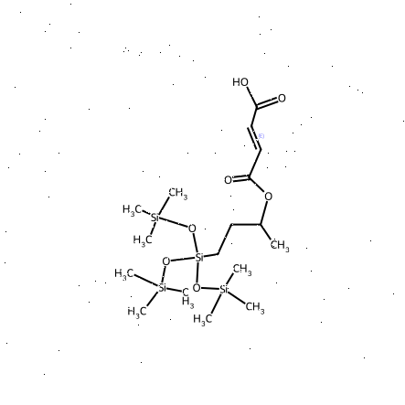 CC(CC[Si](O[Si](C)(C)C)(O[Si](C)(C)C)O[Si](C)(C)C)OC(=O)/C=C/C(=O)O